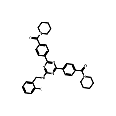 O=C(c1ccc(-c2nc(NCc3ccccc3Cl)nc(-c3ccc(C(=O)N4CCCCC4)cc3)n2)cc1)N1CCCCC1